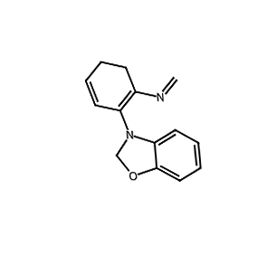 C=NC1=C(N2COc3ccccc32)C=CCC1